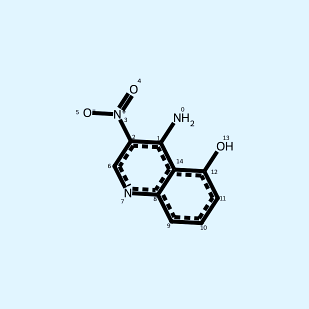 Nc1c([N+](=O)[O-])cnc2cccc(O)c12